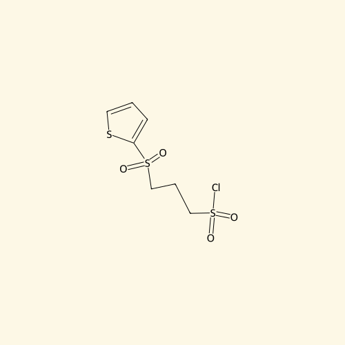 O=S(=O)(Cl)CCCS(=O)(=O)c1cccs1